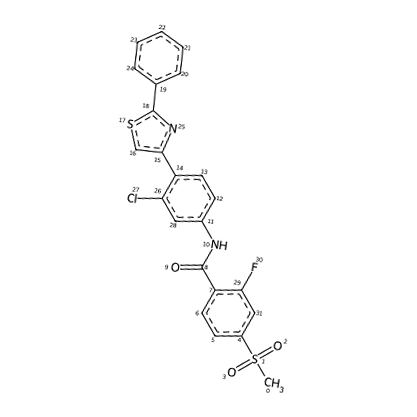 CS(=O)(=O)c1ccc(C(=O)Nc2ccc(-c3csc(-c4ccccc4)n3)c(Cl)c2)c(F)c1